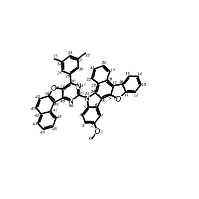 COc1ccc2c(c1)c1c3oc4ccccc4c3c3ccccc3c1n2-c1nc(-c2cc(C)cc(C)c2)c2oc3ccc4ccccc4c3c2n1